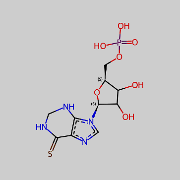 O=P(O)(O)OC[C@@H]1O[C@H](n2cnc3c2NCNC3=S)C(O)C1O